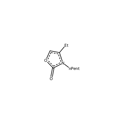 CCCCCn1c(CC)coc1=O